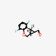 O=CC1[C@H]2c3c(F)ccc(F)c3OC[C@@H]12